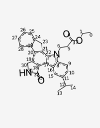 CCOC(=O)CCn1c2ccc(C(C)C)cc2c2c3c(c4c(c21)Cc1ccccc1-4)CNC3=O